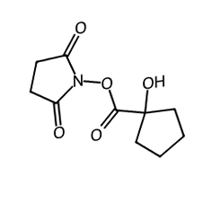 O=C1CCC(=O)N1OC(=O)C1(O)CCCC1